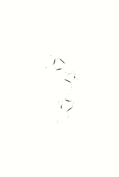 OCc1cnc(OCc2cn(-c3ccc(Cl)c(C(F)F)c3)nn2)nc1